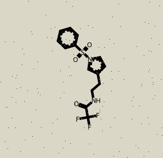 O=C(NCCc1ccn(S(=O)(=O)c2ccccc2)c1)C(F)(F)F